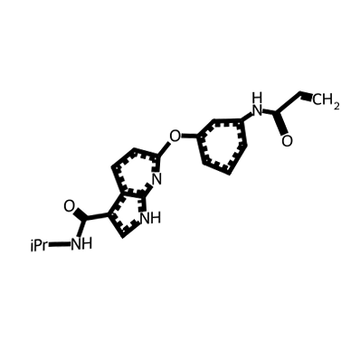 C=CC(=O)Nc1cccc(Oc2ccc3c(C(=O)NC(C)C)c[nH]c3n2)c1